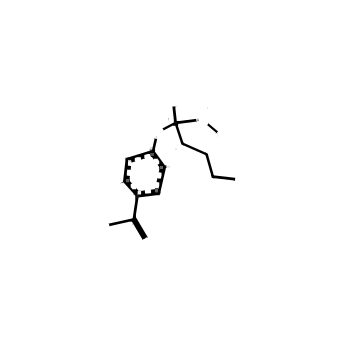 C=C(C)c1ccc(OC(C)(CCCC)OC)cc1